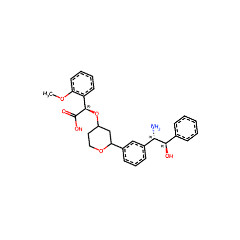 COc1ccccc1[C@@H](OC1CCOC(c2cccc([C@H](N)[C@H](O)c3ccccc3)c2)C1)C(=O)O